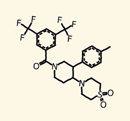 Cc1ccc(C2CN(C(=O)c3cc(C(F)(F)F)cc(C(F)(F)F)c3)CCC2N2CCS(=O)(=O)CC2)cc1